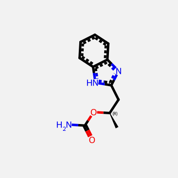 C[C@H](Cc1nc2ccccc2[nH]1)OC(N)=O